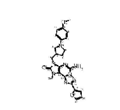 COc1ccc(N2CCC(Cn3c(=O)n(C)c4c3nc(N)n3nc(-c5ccco5)nc43)C2)cc1